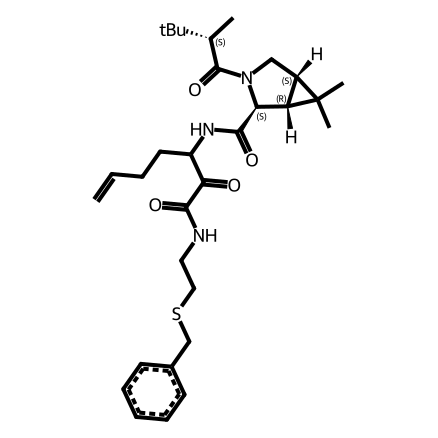 C=CCCC(NC(=O)[C@@H]1[C@@H]2[C@H](CN1C(=O)[C@@H](C)C(C)(C)C)C2(C)C)C(=O)C(=O)NCCSCc1ccccc1